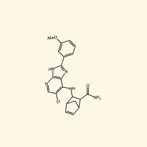 COc1cccc(-c2nc3c(NC4C5C=CC(C5)C4C(N)=O)c(Cl)cnc3[nH]2)c1